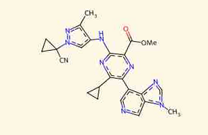 COC(=O)c1nc(-c2cncc3c2ncn3C)c(C2CC2)nc1Nc1cn(C2(C#N)CC2)nc1C